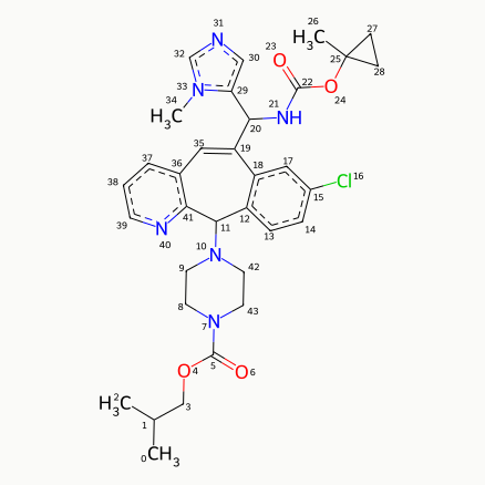 CC(C)COC(=O)N1CCN(C2c3ccc(Cl)cc3C(C(NC(=O)OC3(C)CC3)c3cncn3C)=Cc3cccnc32)CC1